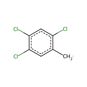 [CH2]c1cc(Cl)c(Cl)cc1Cl